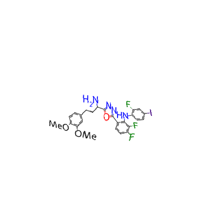 COc1ccc(CCC(N)c2nnc(-c3ccc(F)c(F)c3Nc3ccc(I)cc3F)o2)cc1OC